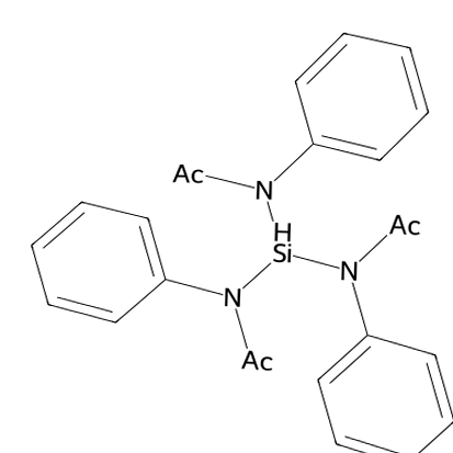 CC(=O)N(c1ccccc1)[SiH](N(C(C)=O)c1ccccc1)N(C(C)=O)c1ccccc1